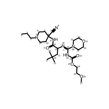 CCCN1CCC(C#N)(NC(=O)C(CC(C)(C)C)/N=C(\NC(=O)OCCOC)N2CCOCC2)CC1